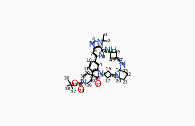 CC(C)n1cnc2cc(-c3ccc4c(c3)N(C3CC(N5CCCCC5)C3)C(=O)C43CCN(C(=O)OC(C)(C)C)CC3)nc(NC3CC(C#N)C3)c21